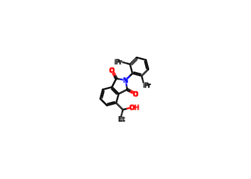 CCC(O)c1cccc2c1C(=O)N(c1c(C(C)C)cccc1C(C)C)C2=O